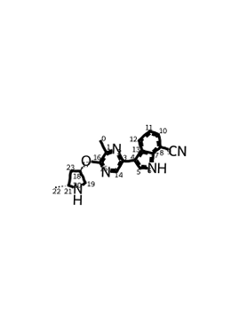 Cc1nc(-c2c[nH]c3c(C#N)cccc23)cnc1O[C@@H]1CN[C@H](C)C1